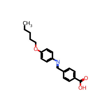 CCCCCOc1ccc(/N=C/c2ccc(C(=O)O)cc2)cc1